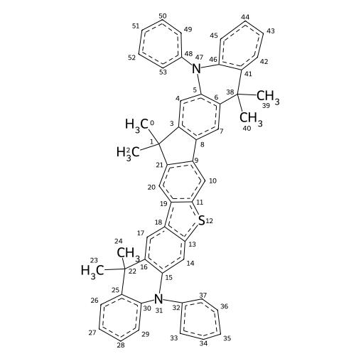 CC1(C)c2cc3c(cc2-c2cc4sc5cc6c(cc5c4cc21)C(C)(C)c1ccccc1N6c1ccccc1)C(C)(C)c1ccccc1N3c1ccccc1